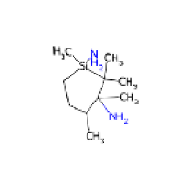 CC1CC[Si](C)(N)C(C)(C)C1(C)N